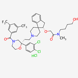 CN(CCCCO)C(=O)CO[C@H]1Cc2ccccc2C12CCN(CC[C@@]1(c3ccc(Cl)c(Cl)c3)CN(C(=O)c3cc(C(F)(F)F)cc(C(F)(F)F)c3)CCO1)CC2.Cl